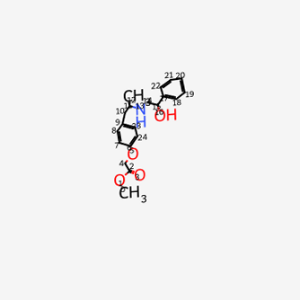 COC(=O)COc1ccc(CC(C)NCC(O)c2ccccc2)cc1